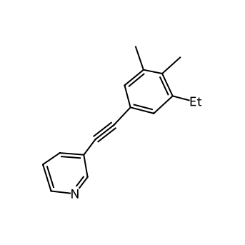 CCc1cc(C#Cc2cccnc2)cc(C)c1C